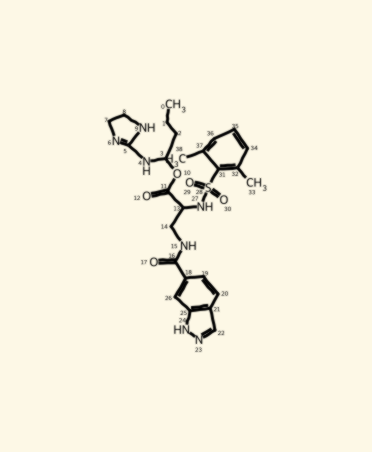 CCCC(NC1=NCCN1)OC(=O)C(CNC(=O)c1ccc2cn[nH]c2c1)NS(=O)(=O)c1c(C)cccc1C